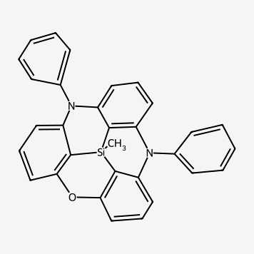 C[Si]12c3c4cccc3N(c3ccccc3)c3cccc(c31)N(c1ccccc1)c1cccc(c12)O4